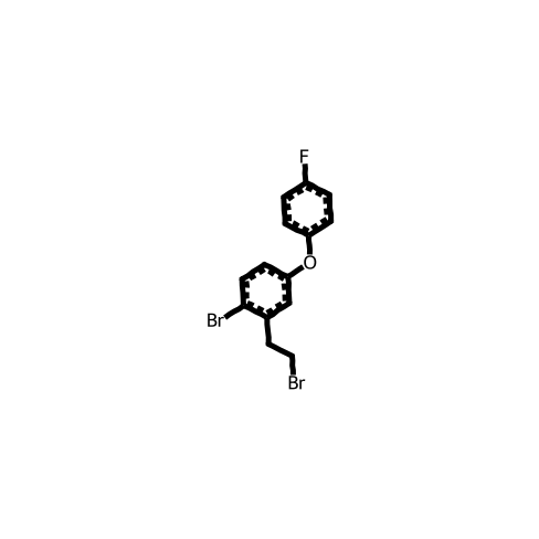 Fc1ccc(Oc2ccc(Br)c(CCBr)c2)cc1